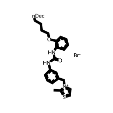 CCCCCCCCCCCCCCOc1ccccc1NC(=O)Nc1cccc(C[n+]2ccsc2C)c1.[Br-]